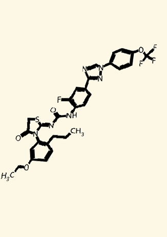 CCCc1ccc(OCC)cc1N1C(=O)CS/C1=N\C(=O)Nc1ccc(-c2ncn(-c3ccc(OC(F)(F)F)cc3)n2)cc1F